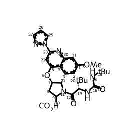 COc1ccc2c(O[C@@H]3CC(C(=O)O)N(C(=O)[C@@H](NC(=O)NC(C)(C)C)C(C)(C)C)C3)cc(-n3cccn3)nc2c1